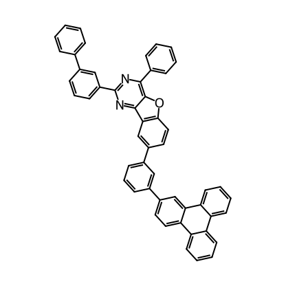 c1ccc(-c2cccc(-c3nc(-c4ccccc4)c4oc5ccc(-c6cccc(-c7ccc8c9ccccc9c9ccccc9c8c7)c6)cc5c4n3)c2)cc1